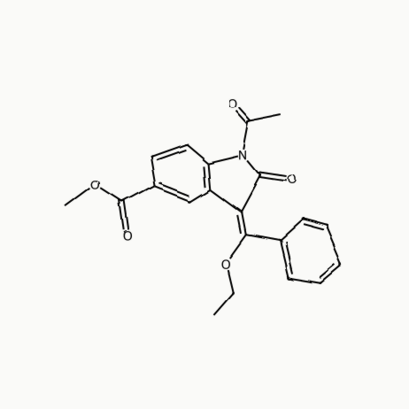 CCOC(=C1C(=O)N(C(C)=O)c2ccc(C(=O)OC)cc21)c1ccccc1